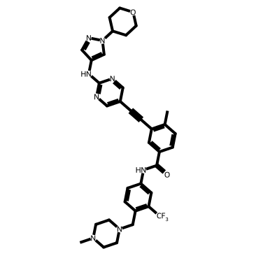 Cc1ccc(C(=O)Nc2ccc(CN3CCN(C)CC3)c(C(F)(F)F)c2)cc1C#Cc1cnc(Nc2cnn(C3CCOCC3)c2)nc1